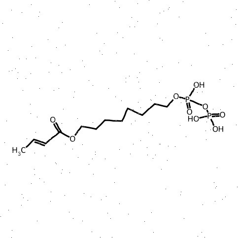 CC=CC(=O)OCCCCCCCCOP(=O)(O)OP(=O)(O)O